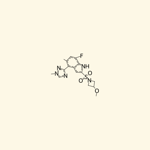 COC1CN(S(=O)(=O)c2cc3c(-c4ncn(C)n4)c(C)cc(F)c3[nH]2)C1